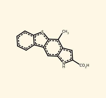 Cc1c2cc(C(=O)O)[nH]c2cc2c1sc1ccccc12